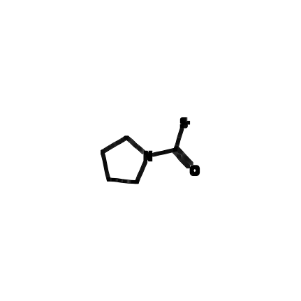 O=C([S])N1CCCC1